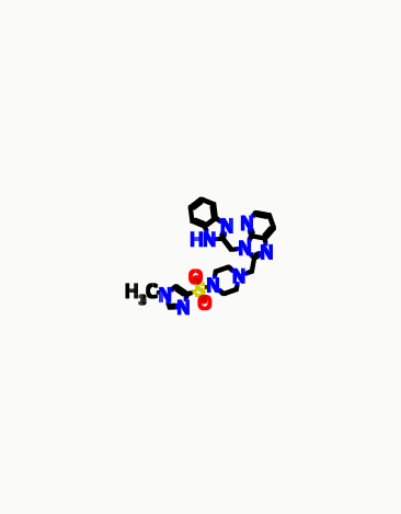 Cn1cnc(S(=O)(=O)N2CCN(Cc3nc4cccnc4n3Cc3nc4ccccc4[nH]3)CC2)c1